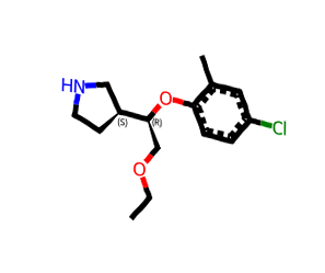 CCOC[C@H](Oc1ccc(Cl)cc1C)[C@H]1CCNC1